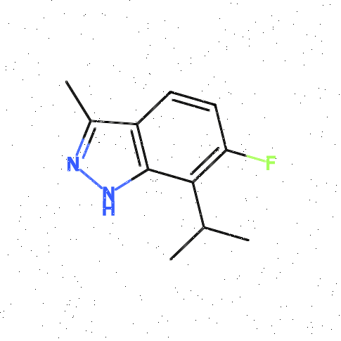 Cc1n[nH]c2c(C(C)C)c(F)ccc12